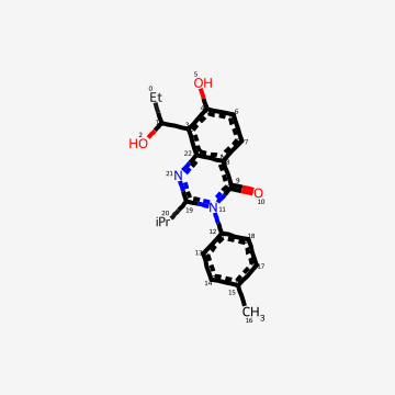 CCC(O)c1c(O)ccc2c(=O)n(-c3ccc(C)cc3)c(C(C)C)nc12